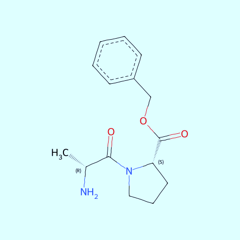 C[C@@H](N)C(=O)N1CCC[C@H]1C(=O)OCc1ccccc1